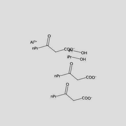 CC(C)O.CC(C)O.CCCC(=O)CC(=O)[O-].CCCC(=O)CC(=O)[O-].CCCC(=O)CC(=O)[O-].[Al+3]